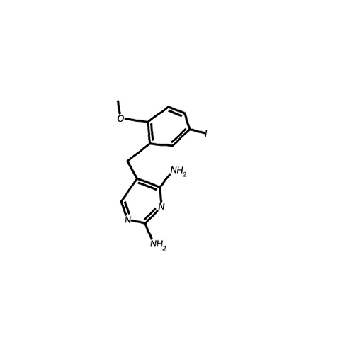 COc1ccc(I)cc1Cc1cnc(N)nc1N